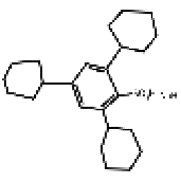 O=S(=O)(O)c1c(C2CCCCC2)cc(C2CCCCC2)cc1C1CCCCC1.[NaH]